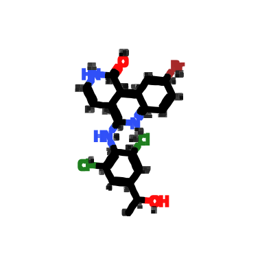 CC(O)c1cc(Cl)c(Nc2nc3ccc(Br)cc3c3c(=O)[nH]ccc23)c(Cl)c1